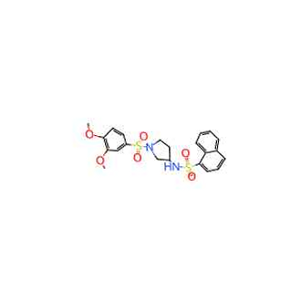 COc1ccc(S(=O)(=O)N2CCC(NS(=O)(=O)c3cccc4ccccc34)C2)cc1OC